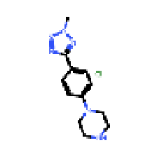 Cl.Cn1nnc(-c2ccc(N3CCNCC3)cc2)n1